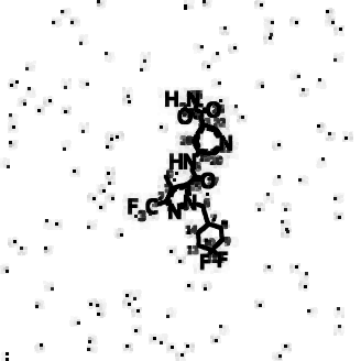 Cc1c(C(F)(F)F)nn(CC2CCC(F)(F)CC2)c1C(=O)Nc1cncc(S(N)(=O)=O)c1